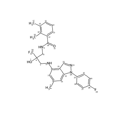 Cc1cc(NCC(O)(CNC(=O)c2cccc(C)c2C)C(F)(F)F)c2cnn(-c3ccc(F)cc3)c2c1